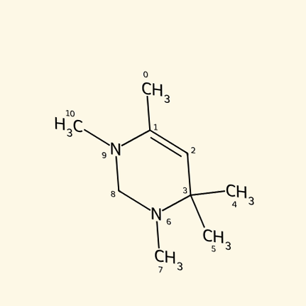 CC1=CC(C)(C)N(C)CN1C